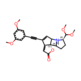 COc1cc(C#CC2=CC3N4[C@@H](C(OC)OC)CC[C@@H]4[C@]34OC(=O)C=C24)cc(OC)c1